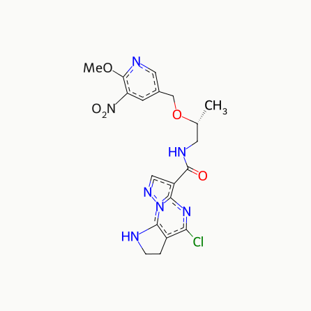 COc1ncc(CO[C@H](C)CNC(=O)c2cnn3c4c(c(Cl)nc23)CCN4)cc1[N+](=O)[O-]